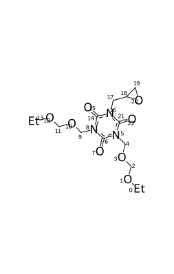 CCOCOCn1c(=O)n(COCOCC)c(=O)n(CC2CO2)c1=O